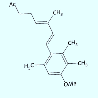 COc1cc(C)c(C=CC(C)=CCCC(C)=O)c(C)c1C